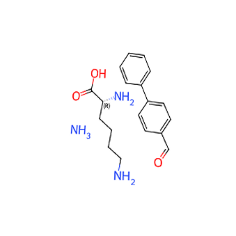 N.NCCCC[C@@H](N)C(=O)O.O=Cc1ccc(-c2ccccc2)cc1